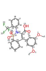 COc1cc(OC)cc(C2=C(C(=O)O)N(c3ccccc3C(F)(F)F)S(=O)(=O)c3ccccc32)c1